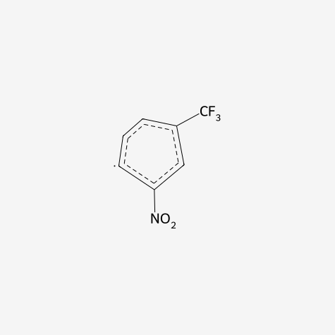 O=[N+]([O-])c1[c]ccc(C(F)(F)F)c1